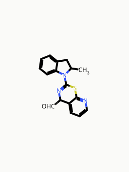 CC1Cc2ccccc2N1C1=NC(C=O)c2cccnc2S1